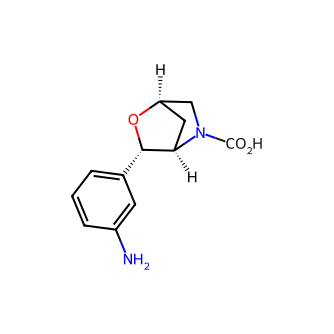 Nc1cccc([C@@H]2O[C@@H]3C[C@H]2N(C(=O)O)C3)c1